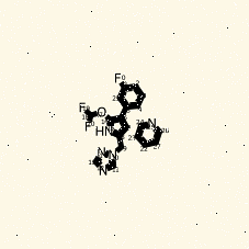 Fc1cccc(-c2cc(Cn3cncn3)[nH]c2OC(F)F)c1.c1ccncc1